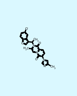 Cc1cn(-c2ccc3c(=O)n(C(C)c4coc5ccc(Cl)cc45)c(C)cn3c2=O)cn1